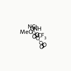 CO[C@H]1CC(S(=O)(=O)c2ccc(-c3ccc(S(C)(=O)=O)cc3)cc2C(F)(F)F)C[C@@H]1C(=O)NC1(C#N)CC1